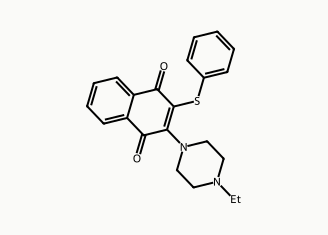 CCN1CCN(C2=C(Sc3ccccc3)C(=O)c3ccccc3C2=O)CC1